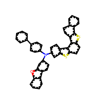 c1ccc(-c2ccc(N(c3ccc4c(c3)oc3ccccc34)c3ccc4c(c3)sc3ccc5sc6c7ccccc7ccc6c5c34)cc2)cc1